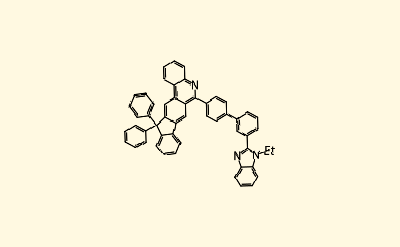 CCn1c(-c2cccc(-c3ccc(-c4nc5ccccc5c5cc6c(cc45)-c4ccccc4C6(c4ccccc4)c4ccccc4)cc3)c2)nc2ccccc21